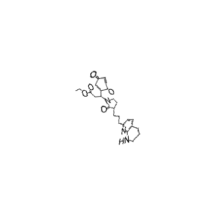 CCOC(=O)CC(C1=CC(=O)C=CC1=O)N1CCC(CCCc2ccc3c(n2)NCCC3)C1=O